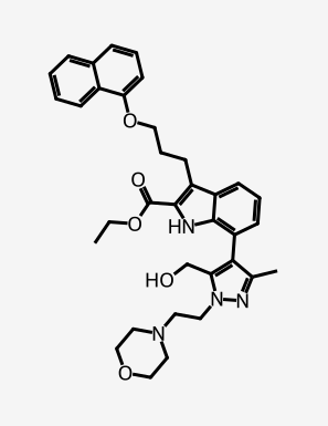 CCOC(=O)c1[nH]c2c(-c3c(C)nn(CCN4CCOCC4)c3CO)cccc2c1CCCOc1cccc2ccccc12